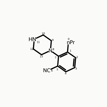 CCCc1cccc(C#N)c1N1CCNCC1